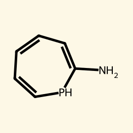 NC1=CC=CC=CP1